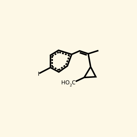 CC(=Cc1ccc(I)cc1)C1CC1C(=O)O